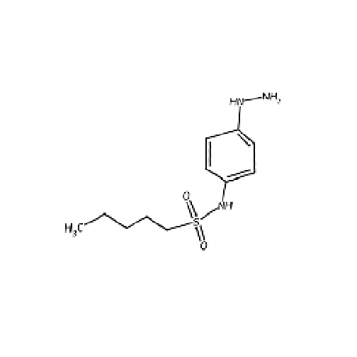 CCCCCS(=O)(=O)Nc1ccc(NN)cc1